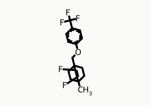 CC12CCC(COc3ccc(C(F)(F)F)cc3)(CC1)C(F)=C2F